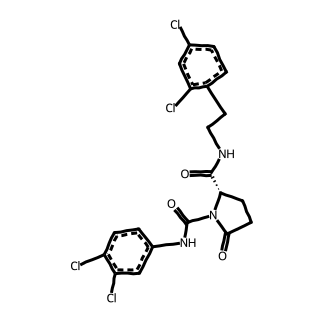 O=C(NCCc1ccc(Cl)cc1Cl)[C@@H]1CCC(=O)N1C(=O)Nc1ccc(Cl)c(Cl)c1